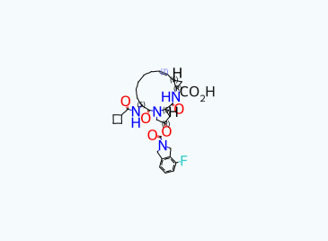 O=C(N[C@H]1CCCCC/C=C\[C@@H]2C[C@@]2(C(=O)O)NC(=O)[C@@H]2C[C@@H](OC(=O)N3Cc4cccc(F)c4C3)CN2C1=O)C1CCC1